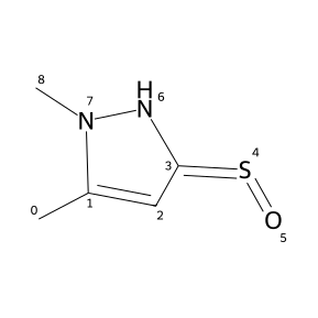 Cc1cc(=S=O)[nH]n1C